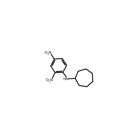 Nc1ccc(NC2CCCCCC2)c([N+](=O)[O-])c1